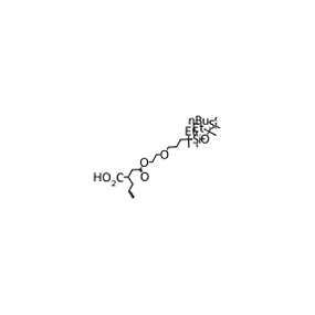 C=CCC(CC(=O)OCCOCCCC(C)(CC)[Si](C)(C)O[C@](C)(CC)[Si](C)(C)CCCC)C(=O)O